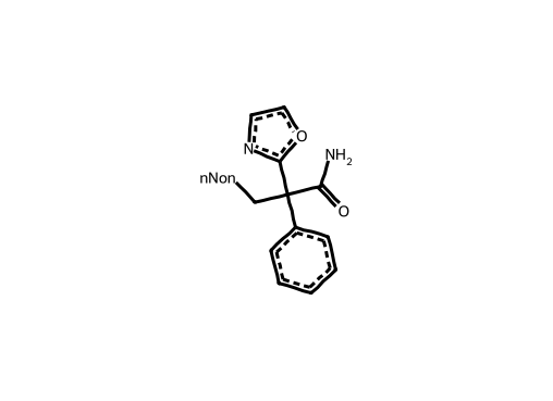 CCCCCCCCCCC(C(N)=O)(c1ccccc1)c1ncco1